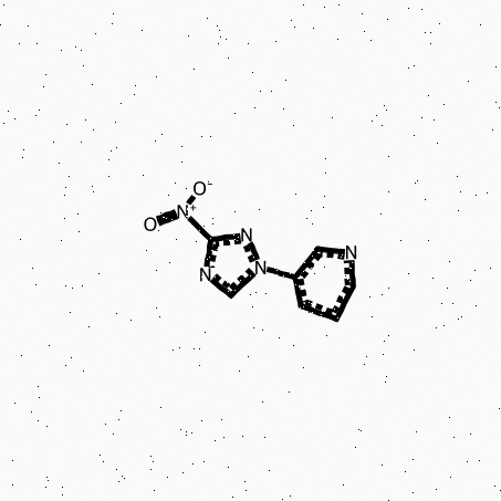 O=[N+]([O-])c1ncn(-c2cccnc2)n1